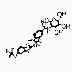 Cn1c(Nc2nc3ccc(OC(F)(F)F)cc3s2)nc2cc(C(=O)N[C@@H]3[C@@H](O)[C@H](O)[C@@H](CO)O[C@@H]3O)ccc21